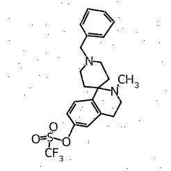 CN1CCc2cc(OS(=O)(=O)C(F)(F)F)ccc2C12CCN(Cc1ccccc1)CC2